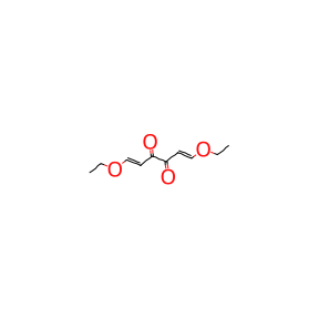 CCO/C=C/C(=O)C(=O)/C=C/OCC